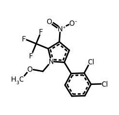 COCn1c(-c2cccc(Cl)c2Cl)cc([N+](=O)[O-])c1C(F)(F)F